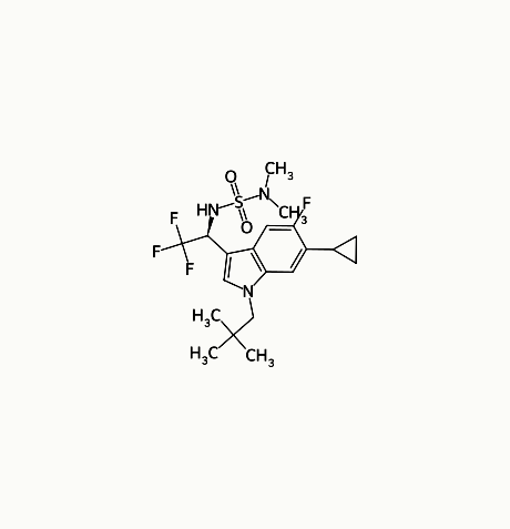 CN(C)S(=O)(=O)N[C@@H](c1cn(CC(C)(C)C)c2cc(C3CC3)c(F)cc12)C(F)(F)F